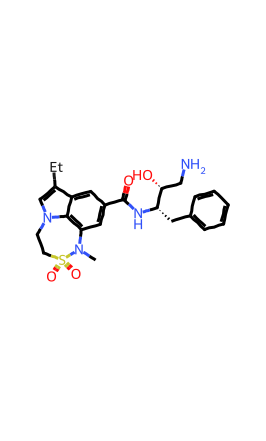 CCc1cn2c3c(cc(C(=O)N[C@@H](Cc4ccccc4)[C@H](O)CN)cc13)N(C)S(=O)(=O)CC2